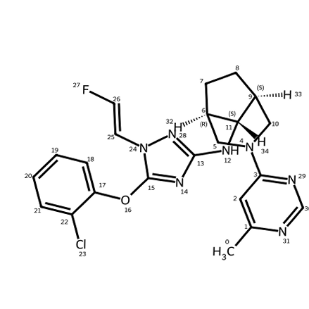 Cc1cc(N2C[C@H]3CC[C@@H](C2)[C@@H]3Nc2nc(Oc3ccccc3Cl)n(C=CF)n2)ncn1